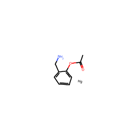 CC(=O)Oc1ccccc1CN.[Hg]